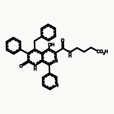 O=C(O)CCCNC(=O)c1nc(-c2cccnc2)c2[nH]c(=O)c(-c3ccccc3)c(Cc3ccccc3)c2c1O